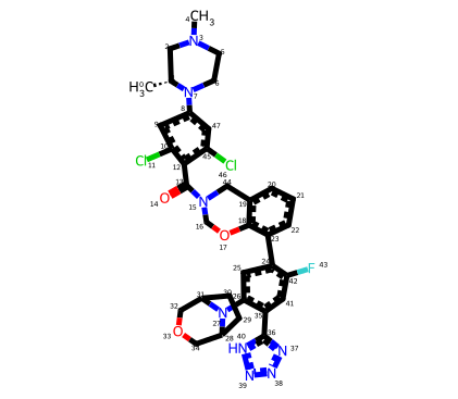 C[C@@H]1CN(C)CCN1c1cc(Cl)c(C(=O)N2COc3c(cccc3-c3cc(N4C5CCC4COC5)c(-c4nnn[nH]4)cc3F)C2)c(Cl)c1